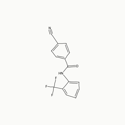 N#Cc1ccc(C(=O)Nc2ccccc2C(F)(F)F)cc1